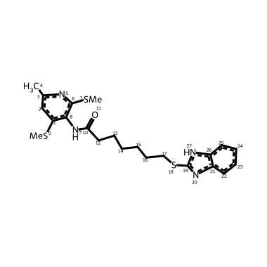 CSc1cc(C)nc(SC)c1NC(=O)CCCCCCSc1nc2ccccc2[nH]1